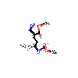 CC(C)(C)OC(=O)N[C@@H](CCC(CN)C(=O)OC(C)(C)C)C(=O)O